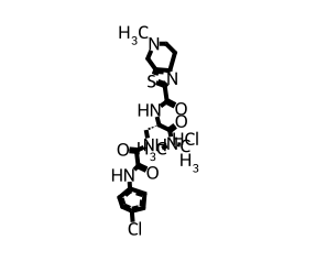 CN1CCc2nc(C(=O)N[C@@H](CNC(=O)C(=O)Nc3ccc(Cl)cc3)C(=O)N(C)C)sc2C1.Cl